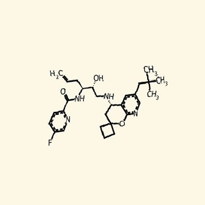 C=CC[C@H](NC(=O)c1ccc(F)cn1)[C@H](O)CN[C@H]1CC2(CCC2)Oc2ncc(CC(C)(C)C)cc21